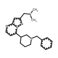 CN(C)Cc1cc2nccc(C3CCCN(Cc4ccccc4)C3)n2n1